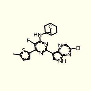 Cc1ccc(-c2nc(-c3c[nH]c4nc(Cl)cnc34)nc(NC3CC4CCC3CC4)c2F)s1